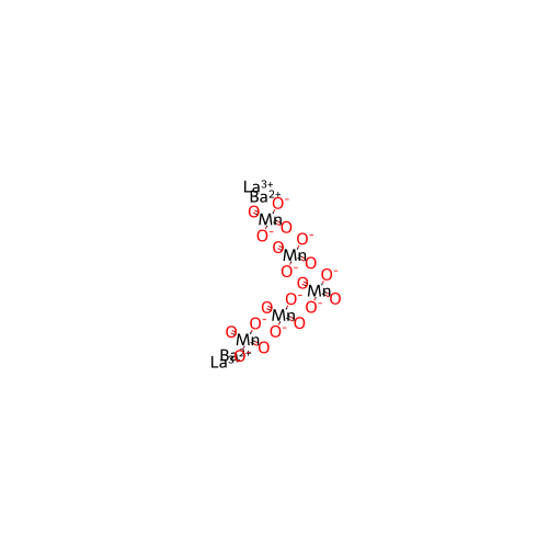 [Ba+2].[Ba+2].[La+3].[La+3].[O]=[Mn](=[O])([O-])[O-].[O]=[Mn](=[O])([O-])[O-].[O]=[Mn](=[O])([O-])[O-].[O]=[Mn](=[O])([O-])[O-].[O]=[Mn](=[O])([O-])[O-]